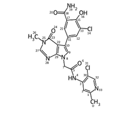 Cc1cc(NC(=O)Cn2cc(-c3cc(Cl)c(O)c(C(N)=O)c3)c3c(=O)n(C)cnc32)c(Cl)cn1